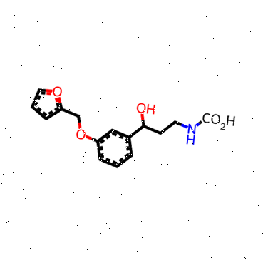 O=C(O)NCCC(O)c1cccc(OCc2ccco2)c1